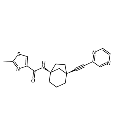 Cc1nc(C(=O)N[C@@]23CCC[C@@](C#Cc4cnccn4)(CC2)C3)cs1